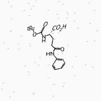 CC(C)(C)OC(=O)N[C@@H](CCC(=O)Nc1ccccc1)C(=O)O